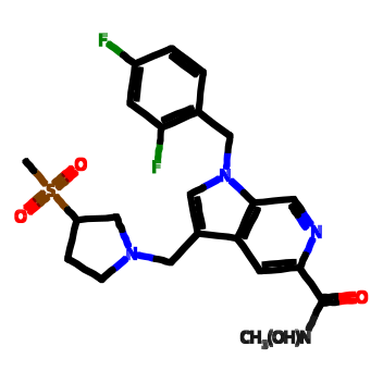 CN(O)C(=O)c1cc2c(CN3CCC(S(C)(=O)=O)C3)cn(Cc3ccc(F)cc3F)c2cn1